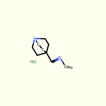 CON=CC12CCN(CC1)CC2.Cl